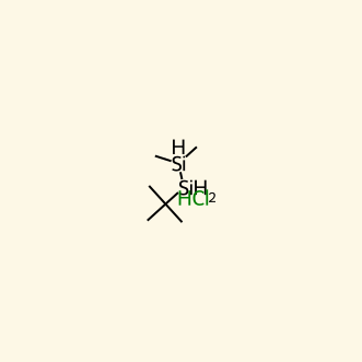 C[SiH](C)[SiH2]C(C)(C)C.Cl